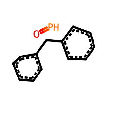 O=P.c1ccc(Cc2ccccc2)cc1